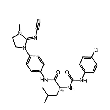 CC(C)C[C@@H](NC(=O)Nc1ccc(Cl)cc1)C(=O)Nc1ccc(N2CCN(C)C2=NC#N)cc1